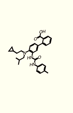 Cc1ccc(NC(=O)Nc2cc(-c3ccccc3C(=O)O)ccc2N(CCC2CC2)CC(C)C)cc1